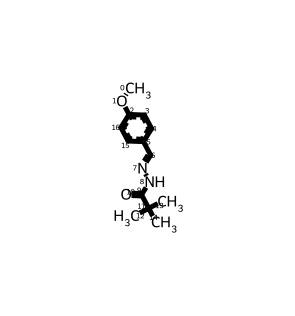 COc1ccc(C=NNC(=O)C(C)(C)C)cc1